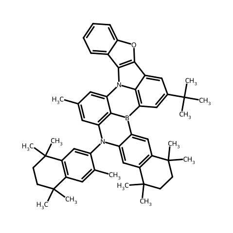 Cc1cc2c3c(c1)-n1c4c(cc(C(C)(C)C)cc4c4oc5ccccc5c41)B3c1cc3c(cc1N2c1cc2c(cc1C)C(C)(C)CCC2(C)C)C(C)(C)CCC3(C)C